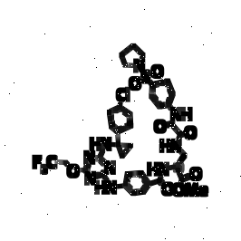 COC(=O)[C@H](CNC(=O)C(=O)Nc1ccc(S(=O)(=O)N2CCCC2)cc1)NC(=O)c1ccc(Nc2nc(NC3(c4ccc(Cl)cc4)CC3)nc(OCC(F)(F)F)n2)cc1